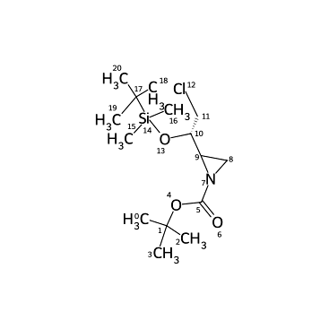 CC(C)(C)OC(=O)N1CC1[C@@H](CCl)O[Si](C)(C)C(C)(C)C